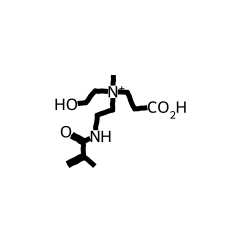 C=C(C)C(=O)NCC[N+](C)(CCO)CCC(=O)O